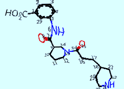 O=C(O)c1cccc(NC(=O)C2CCCN(C(=O)CCC3CCNCC3)C2)c1